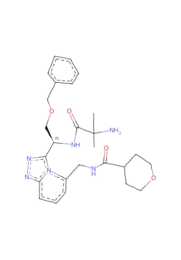 CC(C)(N)C(=O)N[C@H](COCc1ccccc1)c1nnc2cccc(CNC(=O)C3CCOCC3)n12